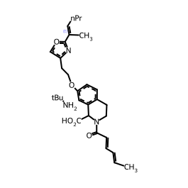 CC(C)(C)N.CC=CC=CC(=O)N1CCc2ccc(OCCc3coc(/C(C)=C/CCC)n3)cc2C1C(=O)O